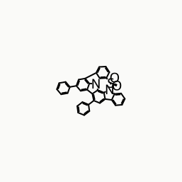 O=S1(=O)c2cccc3c4cc(-c5ccccc5)cc5c6c(-c7ccccc7)cc7c8ccccc8n1c7c6n(c23)c45